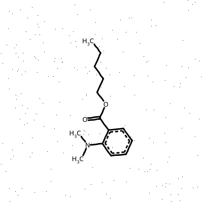 CCCCCOC(=O)c1ccccc1N(C)C